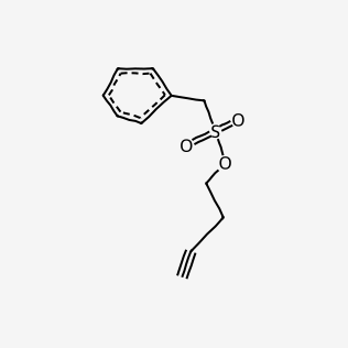 C#CCCOS(=O)(=O)Cc1ccccc1